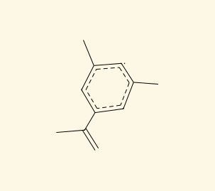 C=C(C)c1cc(C)[c]c(C)c1